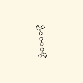 c1ccc2c(c1)c1ncccc1n2-c1ccc(-c2ccc(-c3ccc(-c4ccc(-n5c6ccccc6c6ncccc65)cc4)cc3)cc2)cc1